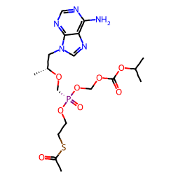 CC(=O)SCCO[P@@](=O)(CO[C@H](C)Cn1cnc2c(N)ncnc21)OCOC(=O)OC(C)C